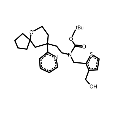 CC(C)(C)OC(=O)N(CCC1(c2ccccn2)CCOC2(CCCC2)C1)Cc1sccc1CO